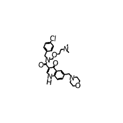 CN(C)CCOCN(Cc1ccc(Cl)cc1)C(=O)c1c[nH]c2ccc(CN3CCOCC3)cc2c1=O